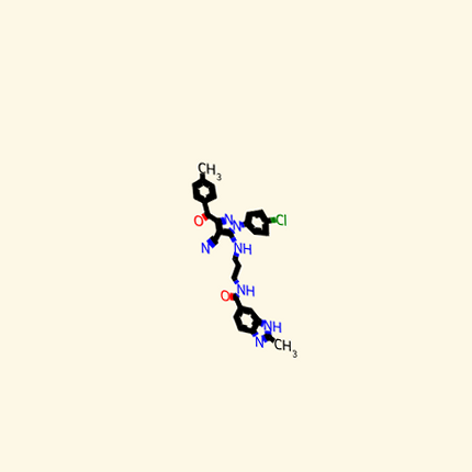 Cc1ccc(C(=O)c2nn(-c3ccc(Cl)cc3)c(NCCCNC(=O)c3ccc4nc(C)[nH]c4c3)c2C#N)cc1